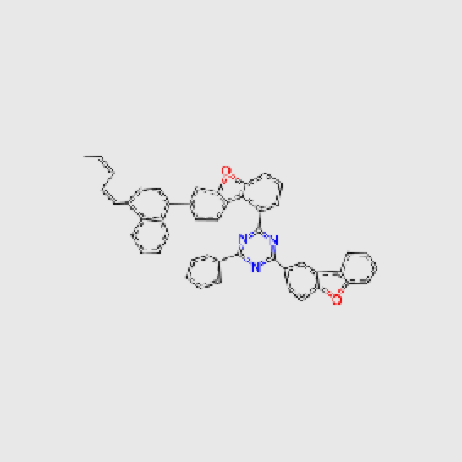 C/C=C\C=C/c1ccc(-c2ccc3c(c2)oc2cccc(-c4nc(-c5ccccc5)nc(-c5ccc6oc7ccccc7c6c5)n4)c23)c2ccccc12